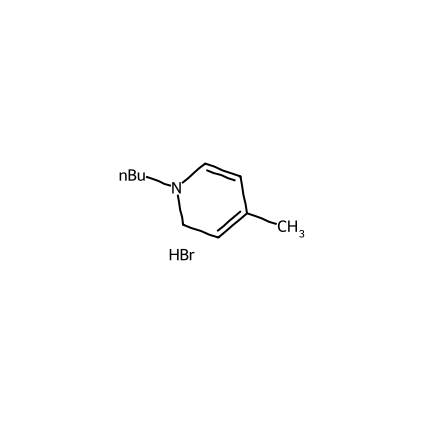 Br.CCCCN1C=CC(C)=CC1